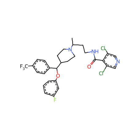 CC(CCNC(=O)c1c(Cl)cncc1Cl)N1CCC(C(Oc2cccc(F)c2)c2ccc(C(F)(F)F)cc2)CC1